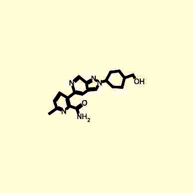 Cc1ccc(-c2cc3cn(C4CCC(CO)CC4)nc3cn2)c(C(N)=O)n1